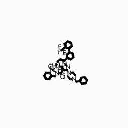 CN(C)c1ccccc1C=NC(=O)c1c(N2CCN(Cc3ccccc3)CC2)nn2c(-c3cccc(-c4ccccc4C(F)(F)F)c3)ccnc12